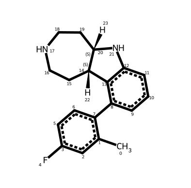 Cc1cc(F)ccc1-c1cccc2c1[C@@H]1CCNCC[C@@H]1N2